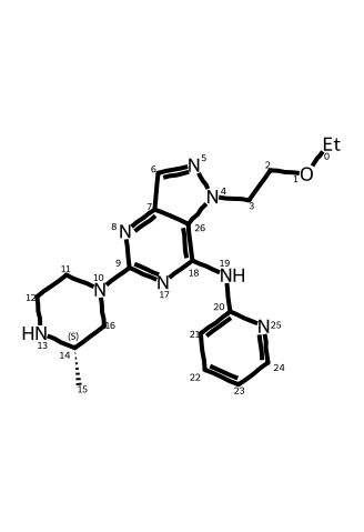 CCOCCn1ncc2nc(N3CCN[C@@H](C)C3)nc(Nc3ccccn3)c21